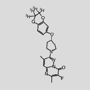 [2H]C1([2H])Oc2ccc(OC3CCN(c4nn5c(=O)c(F)c(C)nc5cc4C)CC3)cc2OC1([2H])[2H]